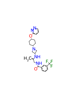 C=C(CNC(=O)c1cccc(C(F)(F)F)c1)NC1CN([C@H]2CC[C@@H](Oc3cccnn3)CC2)C1